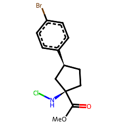 COC(=O)[C@@]1(NCl)CC[C@H](c2ccc(Br)cc2)C1